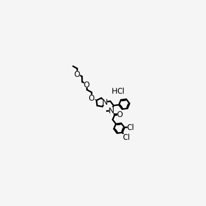 CCOCCOCCO[C@H]1CCN(CC(c2ccccc2)N(C)C(=O)Cc2ccc(Cl)c(Cl)c2)C1.Cl